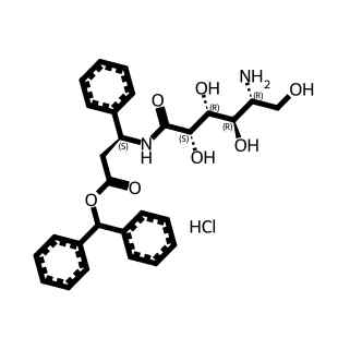 Cl.N[C@H](CO)[C@@H](O)[C@@H](O)[C@H](O)C(=O)N[C@@H](CC(=O)OC(c1ccccc1)c1ccccc1)c1ccccc1